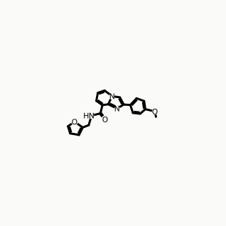 COc1ccc(-c2cn3cccc(C(=O)NCc4ccco4)c3n2)cc1